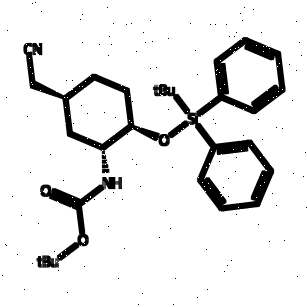 CC(C)(C)OC(=O)N[C@@H]1C[C@@H](CC#N)CC[C@H]1O[Si](c1ccccc1)(c1ccccc1)C(C)(C)C